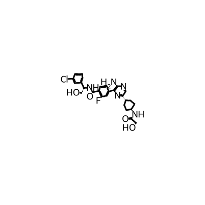 Nc1ncc([C@H]2CC[C@H](NC(=O)CO)CC2)nc1-c1ccc(C(=O)N[C@H](CO)c2cccc(Cl)c2)c(F)c1